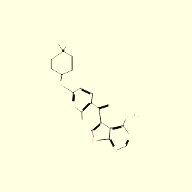 CNc1ncnc2[nH]cc(C(=O)c3ccc(NC4CCC(F)(F)CC4)nc3F)c12